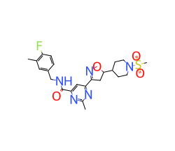 Cc1nc(C(=O)NCc2ccc(F)c(C)c2)cc(C2=NOC(C3CCN(S(C)(=O)=O)CC3)C2)n1